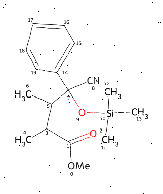 COC(=O)C(C)C(C)C(C#N)(O[Si](C)(C)C)c1ccccc1